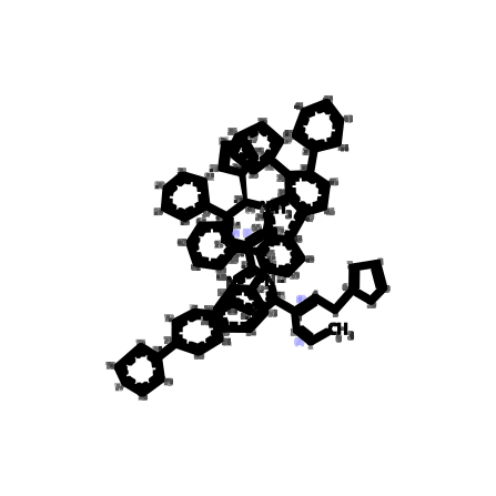 C/C=C\C(=C/CC1=CC=CC1)c1nc(C(/C=C(/c2ccccc2)[C@@H](C2C=CC=C2)n2c3c(-c4ccccc4)c(-c4ccccc4)ccc3c3ccc(-c4ccccc4)c(-c4ccccc4)c32)=C/C)nc(-c2ccc(-c3ccccc3)cc2)n1